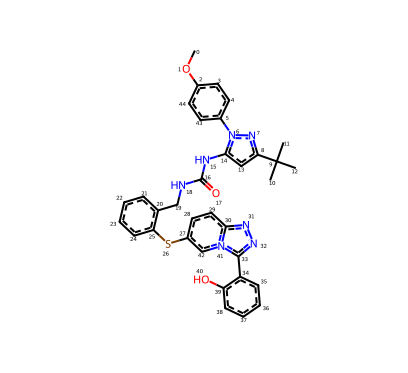 COc1ccc(-n2nc(C(C)(C)C)cc2NC(=O)NCc2ccccc2Sc2ccc3nnc(-c4ccccc4O)n3c2)cc1